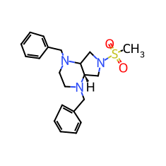 CS(=O)(=O)N1CC2[C@H](C1)N(Cc1ccccc1)CCN2Cc1ccccc1